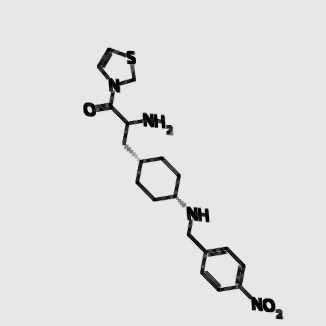 NC(C[C@H]1CC[C@@H](NCc2ccc([N+](=O)[O-])cc2)CC1)C(=O)N1C=CSC1